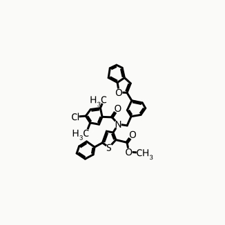 COC(=O)c1sc(-c2ccccc2)cc1N(Cc1cccc(-c2cc3ccccc3o2)c1)C(=O)c1cc(C)c(Cl)cc1C